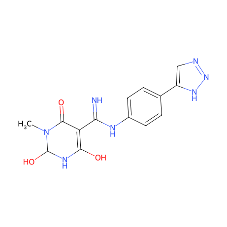 CN1C(=O)C(C(=N)Nc2ccc(-c3cnn[nH]3)cc2)=C(O)NC1O